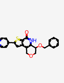 O=c1[nH]c2c(c3cc(-c4ccncc4)sc13)COCC2OCc1ccccc1